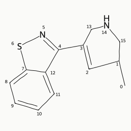 CC1C=C(c2nsc3ccccc23)CNC1